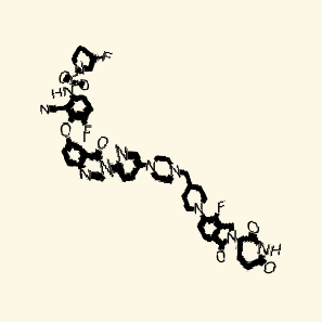 N#Cc1c(NS(=O)(=O)N2CC[C@@H](F)C2)ccc(F)c1Oc1ccc2ncn(-c3ccc(N4CCN(CC5CCN(c6ccc7c(c6F)CN([C@H]6CCC(=O)NC6=O)C7=O)CC5)CC4)cn3)c(=O)c2c1